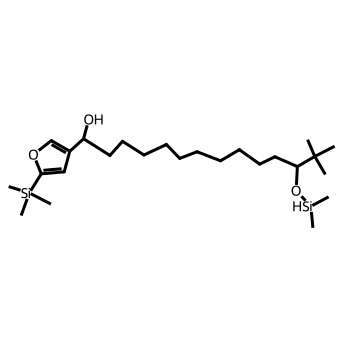 C[SiH](C)OC(CCCCCCCCCCC(O)c1coc([Si](C)(C)C)c1)C(C)(C)C